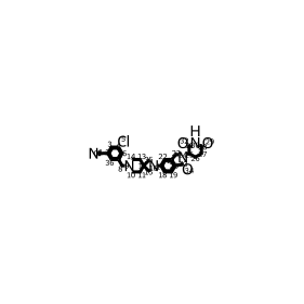 N#Cc1cc(Cl)cc(CN2CCC3(CC2)CN(c2ccc4c(c2)CN(C2CCC(=O)NC2=O)C4=O)C3)c1